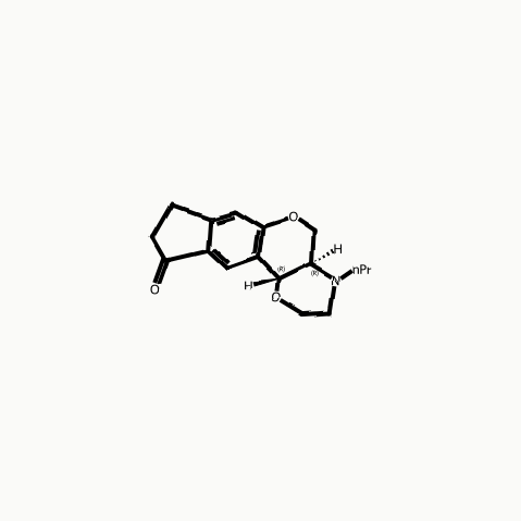 CCCN1CCO[C@@H]2c3cc4c(cc3OC[C@H]21)CCC4=O